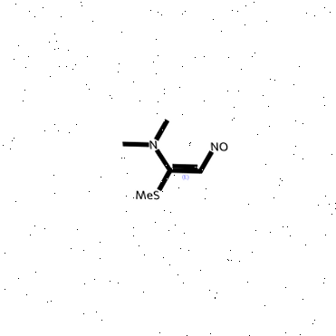 CS/C(=C/N=O)N(C)C